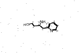 N[C@H](CCO)Cc1ccccn1